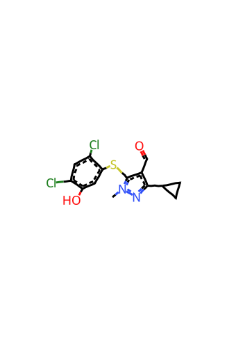 Cn1nc(C2CC2)c(C=O)c1Sc1cc(O)c(Cl)cc1Cl